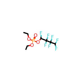 CCOP(=O)(OCC)OC(F)C(F)(F)C(F)(F)C(F)F